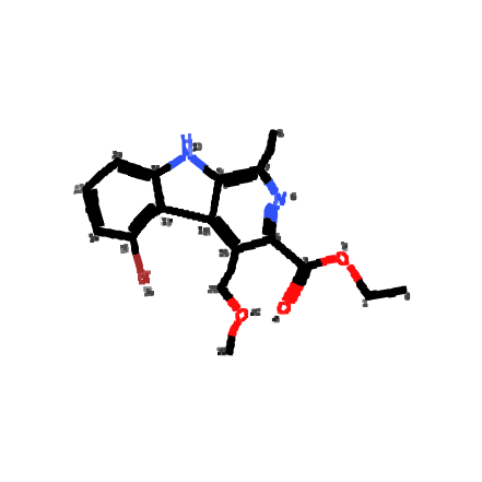 CCOC(=O)c1nc(C)c2[nH]c3cccc(Br)c3c2c1COC